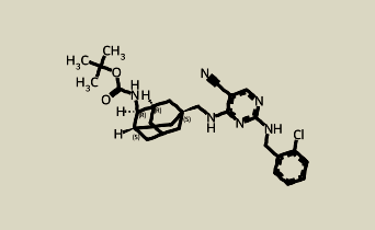 CC(C)(C)OC(=O)N[C@H]1[C@@H]2CC3C[C@H]1C[C@@](CNc1nc(NCc4ccccc4Cl)ncc1C#N)(C3)C2